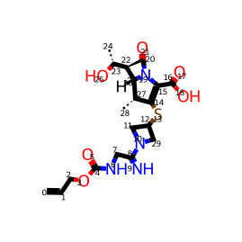 C=CCOC(=O)NCC(=N)N1CC(SC2=C(C(=O)O)N3C(=O)[C@H]([C@@H](C)O)[C@H]3[C@H]2C)C1